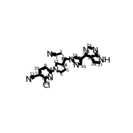 N#CC[C@@H]([C@H]1CCN(c2ccc(C#N)c(Cl)n2)C1)n1cc(-c2ncnc3[nH]ccc23)cn1